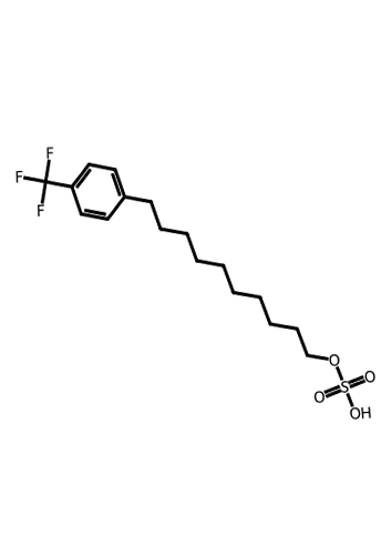 O=S(=O)(O)OCCCCCCCCCCc1ccc(C(F)(F)F)cc1